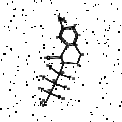 Nc1ccc2c(c1)C(=O)C(C(F)(F)C(F)(F)C(F)(F)C(F)(F)F)CC2